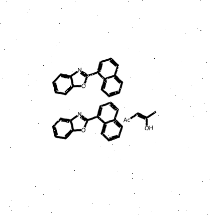 CC(=O)/C=C(/C)O.c1ccc2c(-c3nc4ccccc4o3)cccc2c1.c1ccc2c(-c3nc4ccccc4o3)cccc2c1